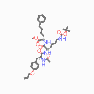 C=CCOc1ccc(C[C@H](NC(C)=O)C(=O)N[C@@H](CCCCNC(=O)OC(C)(C)C)C(=O)N[C@@H](CCCCc2ccccc2)C(=O)OC)cc1